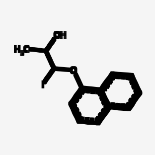 CC(O)C(I)Oc1cccc2ccccc12